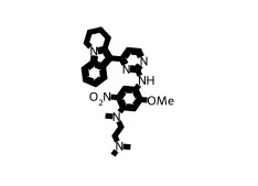 COc1cc(N(C)CCN(C)C)c([N+](=O)[O-])cc1Nc1nccc(-c2c3n(c4ccccc24)CCCC3)n1